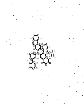 CC1(C)c2ccccc2-c2c(N(c3cccc(-c4ccccc4)c3)c3ccc4c(c3)sc3ccccc34)cc3ccccc3c21